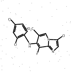 O=C(O)c1cn2c(Cl)cnc2c(F)c1Nc1ccc(Cl)cc1Cl